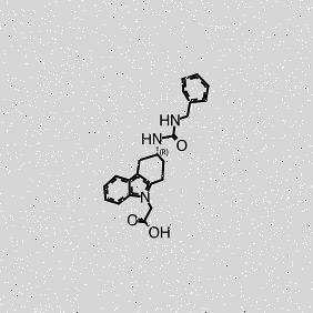 O=C(O)Cn1c2c(c3ccccc31)C[C@H](NC(=O)NCc1ccccc1)CC2